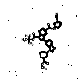 COC(=O)N1CCCC(n2cnc3ccc(-c4cn(C(=O)OC(C)(C)C)c5ncc(C(=O)Nc6cccc(C#N)c6)cc45)cc32)C1